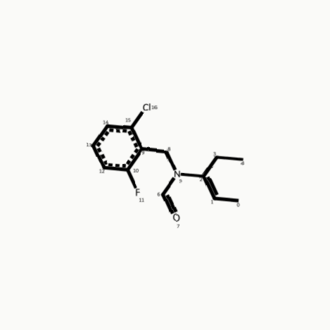 C/C=C(\CC)N(C=O)Cc1c(F)cccc1Cl